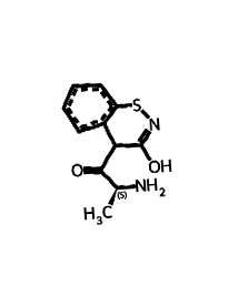 C[C@H](N)C(=O)C1C(O)=NSc2ccccc21